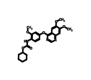 COc1cc(Oc2ncnc3cc(OC)c(OC)cc23)ccc1NC(=O)OC1CCCCC1